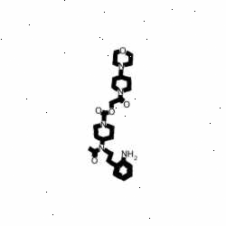 CC(=O)N(CCc1ccccc1N)C1CCN(C(=O)OCC(=O)N2CCC(N3CCOCC3)CC2)CC1